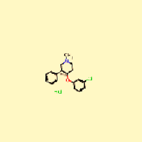 CN1CC[C@@H](Oc2cccc(Cl)c2)[C@@H](c2ccccc2)C1.Cl